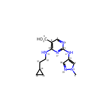 Cn1cc(Nc2ncc(C(=O)O)c(NCCC3CC3)n2)cn1